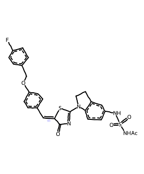 CC(=O)NS(=O)(=O)Nc1ccc2c(c1)CCN2C1=NC(=O)/C(=C/c2ccc(OCc3ccc(F)cc3)cc2)S1